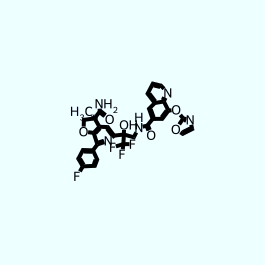 C[C@]1(C(N)=O)COc2c1cc(C(O)(CNC(=O)c1cc(Oc3ncco3)c3ncccc3c1)C(F)(F)F)nc2-c1ccc(F)cc1